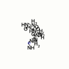 CC1(C)[C@@H]2[C@@H](C(=O)N[C@@H](C[C@@H]3CCNC3=O)C(N)=O)N(C(=O)[C@@H](N)CN/C=C\C=N)C[C@@H]21